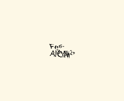 [Al+3].[Cr+3].[Fe-6].[Ni+2]